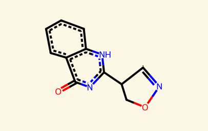 O=c1nc(C2[C]=NOC2)[nH]c2ccccc12